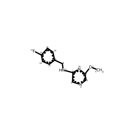 COc1cncc(NCc2ccc(F)cc2)n1